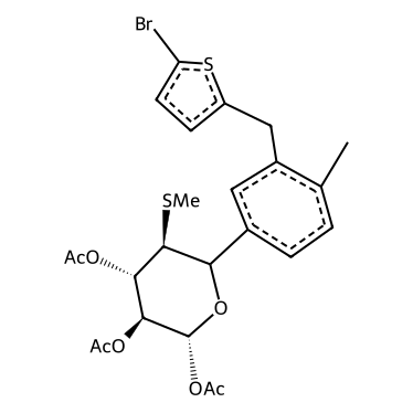 CS[C@H]1C(c2ccc(C)c(Cc3ccc(Br)s3)c2)O[C@H](OC(C)=O)[C@@H](OC(C)=O)[C@@H]1OC(C)=O